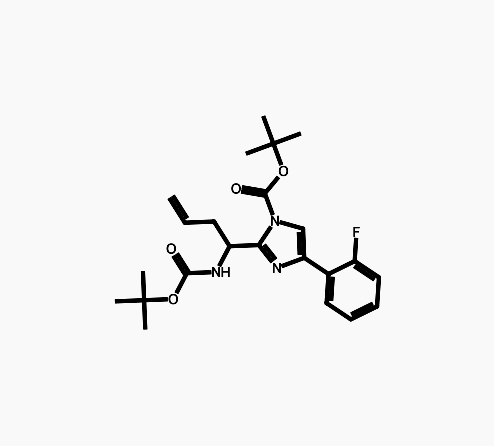 C=CCC(NC(=O)OC(C)(C)C)c1nc(-c2ccccc2F)cn1C(=O)OC(C)(C)C